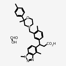 Cc1ccc(C2(C)CN(Cc3cc(C(CC(=O)O)c4ccc5c(nnn5C)c4C)ccc3C)CCO2)cc1.O=CO